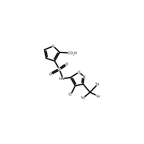 [2H]C([2H])([2H])c1noc(NS(=O)(=O)c2ccsc2C(=O)O)c1Cl